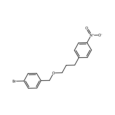 O=[N+]([O-])c1ccc(CCCOCc2ccc(Br)cc2)cc1